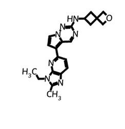 CCn1c(C)nc2ccc(-c3ccn4nc(NC5CC6(COC6)C5)ncc34)nc21